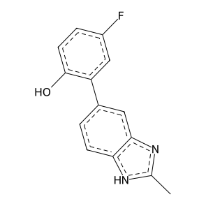 Cc1nc2cc(-c3cc(F)ccc3O)ccc2[nH]1